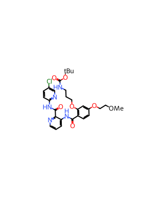 COCCOc1ccc(C(=O)Nc2cccnc2C(=O)Nc2ccc(Cl)cn2)c(OCCCNC(=O)OC(C)(C)C)c1